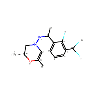 CCC[C@@H]1CN(NC(C)c2cccc(C(F)F)c2F)C=C(C)O1